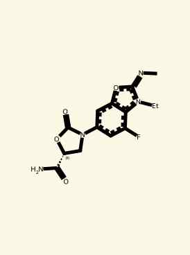 CCn1c(=NC)oc2cc(N3C[C@H](C(N)=O)OC3=O)cc(F)c21